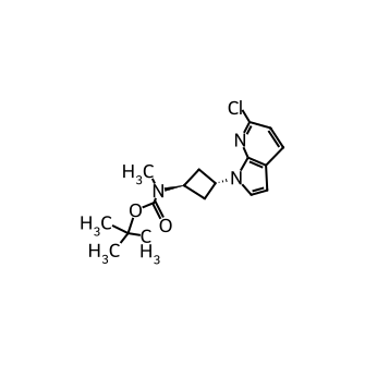 CN(C(=O)OC(C)(C)C)[C@H]1C[C@H](n2ccc3ccc(Cl)nc32)C1